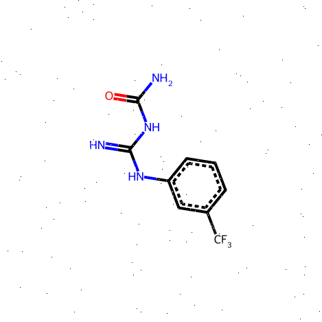 N=C(NC(N)=O)Nc1cccc(C(F)(F)F)c1